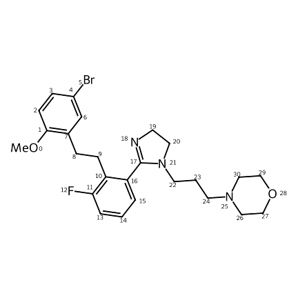 COc1ccc(Br)cc1CCc1c(F)cccc1C1=NCCN1CCCN1CCOCC1